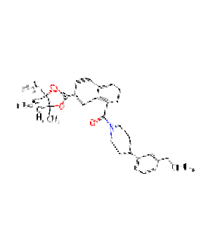 CCc1cccc(C2CCN(C(=O)c3cccc4ccc(B5OC(C)(C)C(C)(C)O5)cc34)CC2)c1